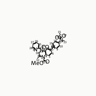 COC(=O)N1c2ccc(-c3ccc(N(C)S(C)(=O)=O)cc3)cc2[N+](C(=O)O)(c2ccccn2)C[C@@H]1C